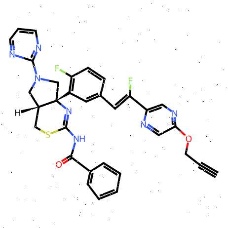 C#CCOc1cnc(/C(F)=C/c2ccc(F)c([C@]34CN(c5ncccn5)C[C@H]3CSC(NC(=O)c3ccccc3)=N4)c2)cn1